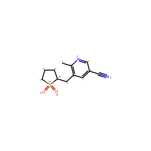 Cc1ncc(C#N)cc1CC1CCCS1(=O)=O